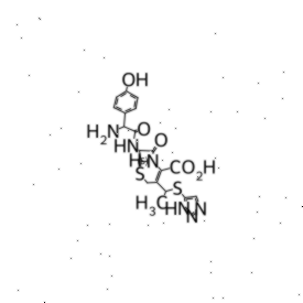 CC(Sc1cnn[nH]1)C1=C(C(=O)O)N2C(=O)C(NC(=O)C(N)c3ccc(O)cc3)[C@@H]2SC1